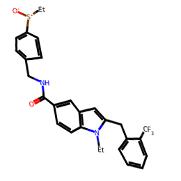 CCn1c(Cc2ccccc2C(F)(F)F)cc2cc(C(=O)NCc3ccc([S+]([O-])CC)cc3)ccc21